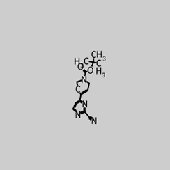 CC(C)(C)OC(=O)N1CC=C(c2ccnc(C#N)n2)CC1